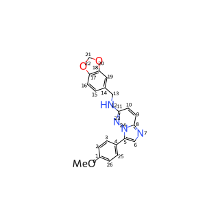 COc1ccc(-c2cnc3ccc(NCc4ccc5c(c4)OCO5)nn23)cc1